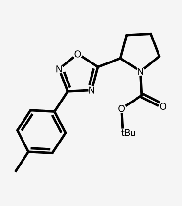 Cc1ccc(-c2noc(C3CCCN3C(=O)OC(C)(C)C)n2)cc1